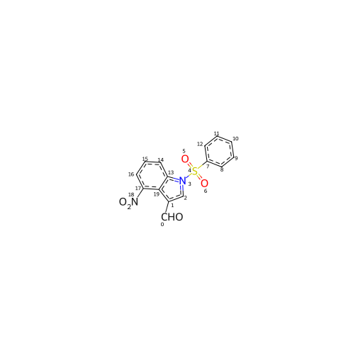 O=Cc1cn(S(=O)(=O)c2ccccc2)c2cccc([N+](=O)[O-])c12